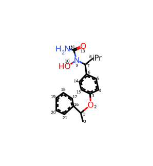 CC(Oc1ccc(C(C(C)C)N(O)C(N)=O)cc1)c1ccccc1